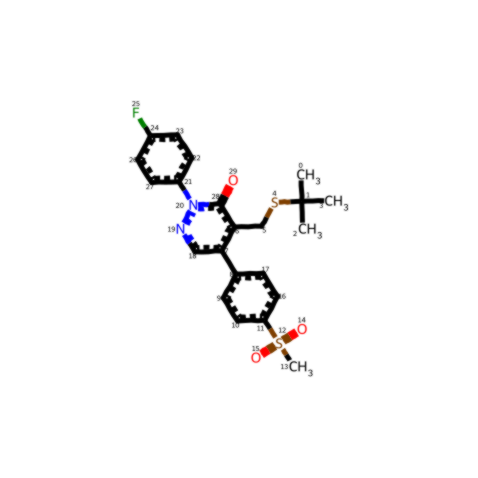 CC(C)(C)SCc1c(-c2ccc(S(C)(=O)=O)cc2)cnn(-c2ccc(F)cc2)c1=O